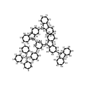 c1ccc([Si](c2ccccc2)(c2ccccc2)c2cccc(-c3cc(-n4c5ccccc5c5cc(-n6c7ccccc7c7ccccc76)ccc54)nc(-n4c5ccccc5c5ccc(-n6c7ccccc7c7ccccc76)cc54)n3)c2)cc1